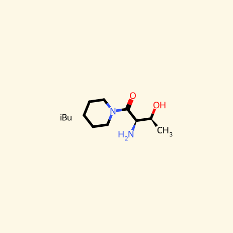 CC[C@H](C)C1CCN(C(=O)[C@H](N)[C@H](C)O)CC1